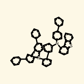 c1ccc(-c2ccc(N(c3cccc(-c4ccccc4-n4c5ccc(-c6ccccc6)cc5c5cc(-c6ccccc6)ccc54)c3)c3cccc4sc5ccccc5c34)cc2)cc1